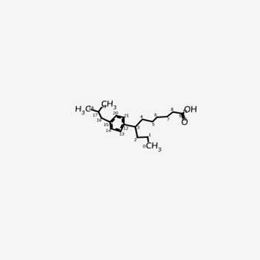 CCCC(CCCCCC(=O)O)c1ccc(CC(C)C)cc1